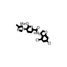 COc1nc(C(=O)N[C@@H]2COc3cc(Cl)cc(Cl)c32)ccc1-n1cnc(C)c1